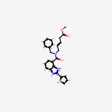 COC(=O)C/C=C/CN(Cc1ccccc1)C(=O)c1cccc2nc(-c3cccs3)[nH]c12